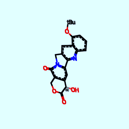 CC(C)(C)Oc1cccc2nc3c(cc12)Cn1c-3cc2c(c1=O)COC(=O)[C@H]2O